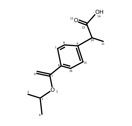 C=C(OC(C)C)c1ccc(C(C)C(=O)O)cc1